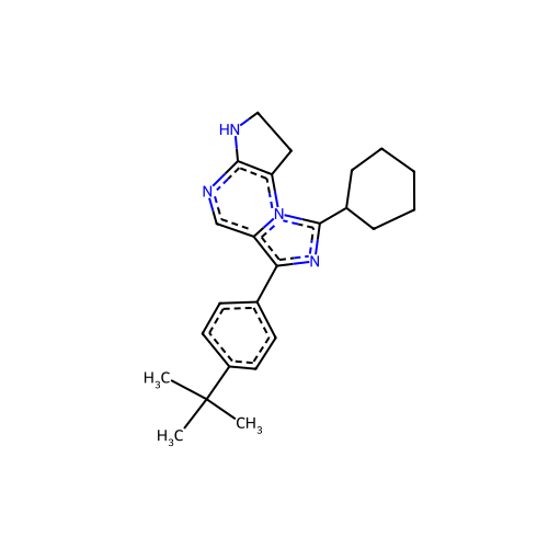 CC(C)(C)c1ccc(-c2nc(C3CCCCC3)n3c4c(ncc23)NCC4)cc1